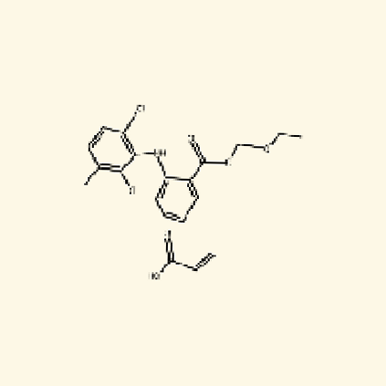 C=CC(=O)O.CCOCOC(=O)c1ccccc1Nc1c(Cl)ccc(C)c1Cl